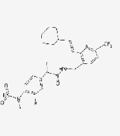 CC(C(=O)NCc1ccc(C(F)(F)F)nc1C=CC1CCCCC1)c1ccc(N(C)[SH](=O)=O)c(F)c1